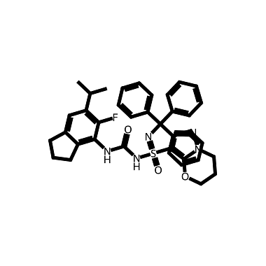 CC(C)c1cc2c(c(NC(=O)NS(=O)(=NC(c3ccccc3)(c3ccccc3)c3ccccc3)c3cnn4c3OCCC4)c1F)CCC2